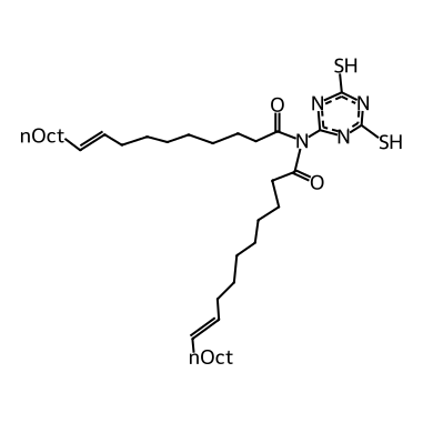 CCCCCCCCC=CCCCCCCCC(=O)N(C(=O)CCCCCCCC=CCCCCCCCC)c1nc(S)nc(S)n1